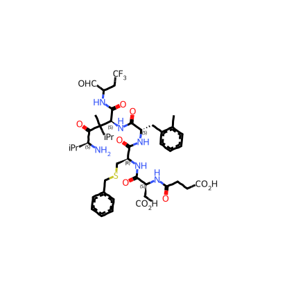 Cc1ccccc1C[C@H](NC(=O)[C@H](CSCc1ccccc1)NC(=O)[C@H](CC(=O)O)NC(=O)CCC(=O)O)C(=O)N[C@H](C(=O)NC(C=O)CC(F)(F)F)C(C)(C(=O)[C@@H](N)C(C)C)C(C)C